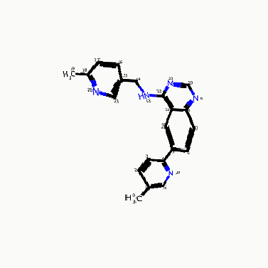 Cc1ccc(-c2ccc3ncnc(NCc4ccc(C)nc4)c3c2)nc1